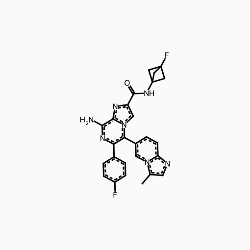 Cc1cnc2ccc(-c3c(-c4ccc(F)cc4)nc(N)c4nc(C(=O)NC56CC(F)(C5)C6)cn34)cn12